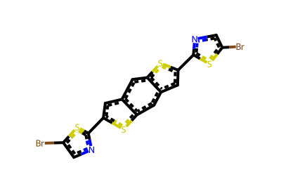 Brc1cnc(-c2cc3cc4sc(-c5ncc(Br)s5)cc4cc3s2)s1